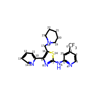 FC(F)(F)c1ccnc(Nc2nc(-c3ccccn3)c(CN3CCCCC3)s2)c1